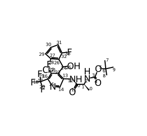 C[C@H](NC(=O)OC(C)(C)C)C(=O)Nc1cnc(C(F)(F)F)c(Cl)c1C(O)c1c(F)cccc1F